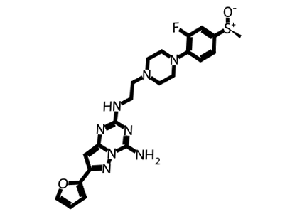 C[S@+]([O-])c1ccc(N2CCN(CCNc3nc(N)n4nc(-c5ccco5)cc4n3)CC2)c(F)c1